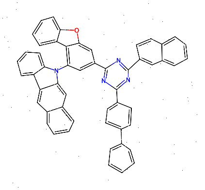 c1ccc(-c2ccc(-c3nc(-c4ccc5ccccc5c4)nc(-c4cc(-n5c6ccccc6c6cc7ccccc7cc65)c5c(c4)oc4ccccc45)n3)cc2)cc1